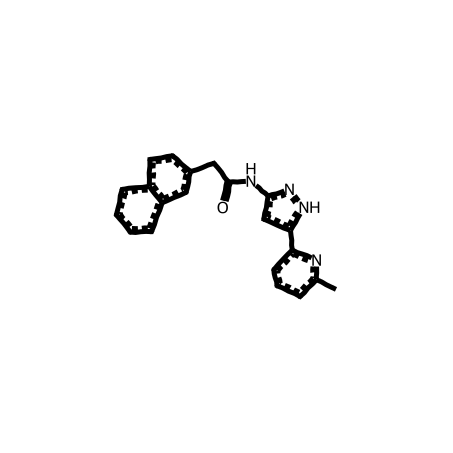 Cc1cccc(-c2cc(NC(=O)Cc3ccc4ccccc4c3)n[nH]2)n1